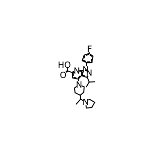 CC(C)c1nn(-c2ccc(F)cc2)c2nc(C(=O)O)cc(N3CCC(C(C)N4CCCC4)CC3)c12